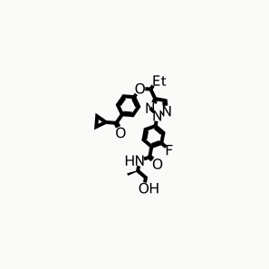 CCC(Oc1ccc(C(=O)C2CC2)cc1)c1cnn(-c2ccc(C(=O)N[C@H](C)CO)c(F)c2)n1